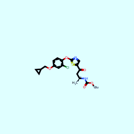 C[C@@H](CC(=O)c1cnc(Oc2ccc(OCC3CC3)cc2Cl)s1)NC(=O)OC(C)(C)C